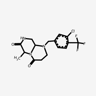 CC1C(=O)NCC2N(Cc3ccc(C(F)(F)F)c(Cl)c3)CCC(=O)N12